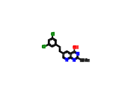 CC(=O)Nc1nc(O)c2cc(C=Cc3cc(Cl)cc(Cl)c3)cnc2n1